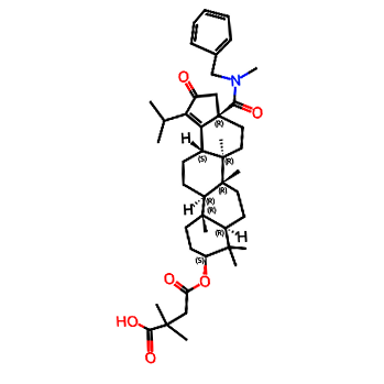 CC(C)C1=C2[C@H]3CC[C@@H]4[C@@]5(C)CC[C@H](OC(=O)CC(C)(C)C(=O)O)C(C)(C)[C@@H]5CC[C@@]4(C)[C@]3(C)CC[C@@]2(C(=O)N(C)Cc2ccccc2)CC1=O